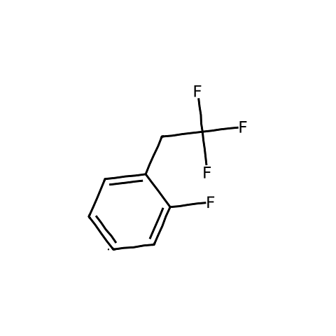 Fc1c[c]ccc1CC(F)(F)F